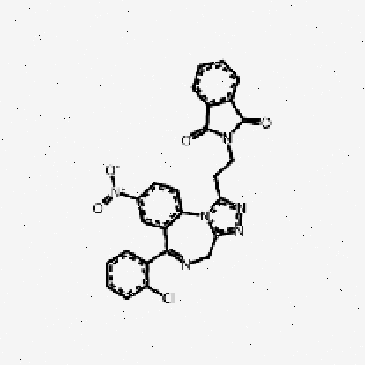 O=C1c2ccccc2C(=O)N1CCc1nnc2n1-c1ccc([N+](=O)[O-])cc1C(c1ccccc1Cl)=NC2